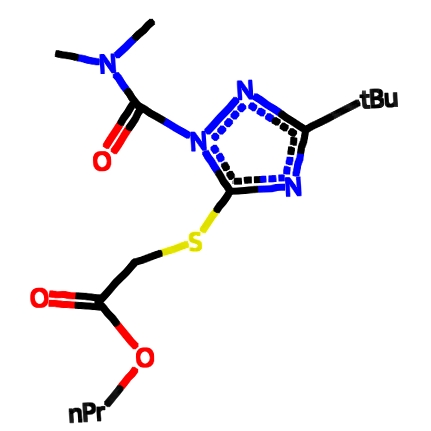 CCCOC(=O)CSc1nc(C(C)(C)C)nn1C(=O)N(C)C